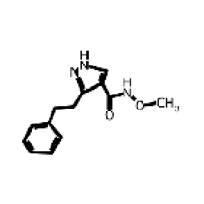 CONC(=O)c1c[nH]nc1CCc1ccccc1